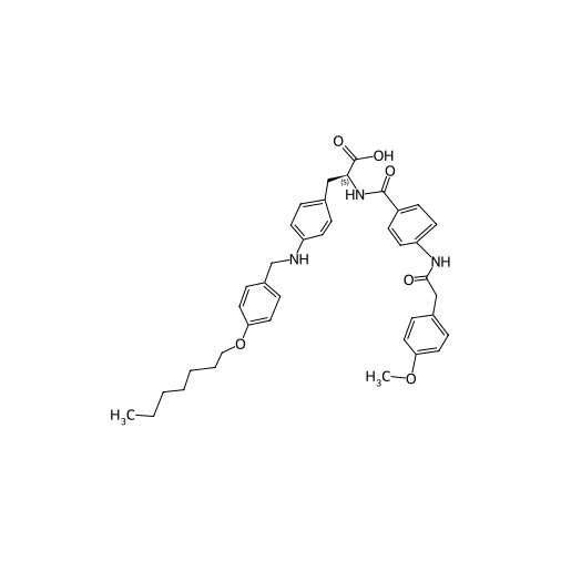 CCCCCCCOc1ccc(CNc2ccc(C[C@H](NC(=O)c3ccc(NC(=O)Cc4ccc(OC)cc4)cc3)C(=O)O)cc2)cc1